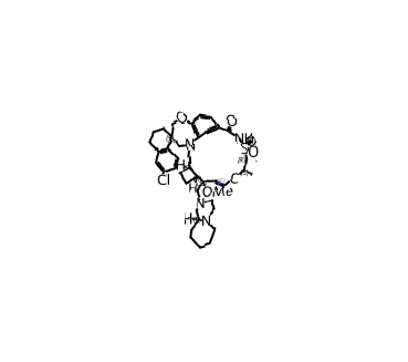 CO[C@]1(CN2CCN3CCCCC[C@@H]3C2)/C=C/C[C@H](C)[C@@H](C)S(=O)(=O)NC(=O)c2ccc3c(c2)N(C[C@@H]2CC[C@H]21)C[C@@]1(CCCc2cc(Cl)ccc21)CO3